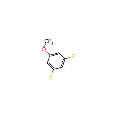 Fc1[c]c(F)cc(OC(F)(F)F)c1